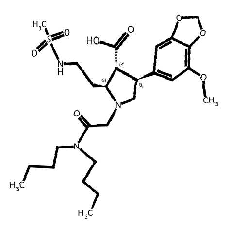 CCCCN(CCCC)C(=O)CN1C[C@H](c2cc(OC)c3c(c2)OCO3)[C@@H](C(=O)O)[C@@H]1CCNS(C)(=O)=O